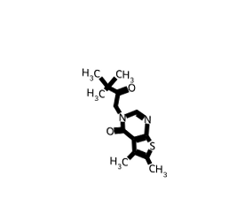 Cc1sc2ncn(CC(=O)C(C)(C)C)c(=O)c2c1C